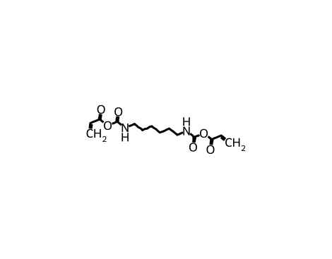 C=CC(=O)OC(=O)NCCCCCCNC(=O)OC(=O)C=C